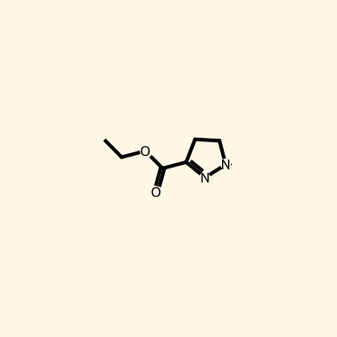 CCOC(=O)C1=N[N]CC1